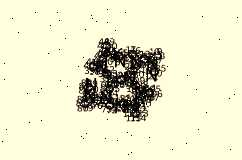 c1cncc(-n2c3ccccc3c3cc4c5ccccc5n(-c5ccc(N(c6ccc(N(c7ccc(-n8c9ccccc9c9cc%10c%11ccccc%11n(-c%11cccnc%11)c%10cc98)cc7)c7ccc(-n8c9ccccc9c9cc%10c%11ccccc%11n(-c%11cccnc%11)c%10cc98)cc7)cc6)c6ccc(-n7c8ccccc8c8cc9c%10ccccc%10n(-c%10cccnc%10)c9cc87)cc6)cc5)c4cc32)c1